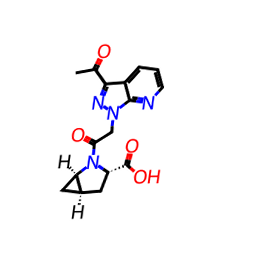 CC(=O)c1nn(CC(=O)N2[C@@H]3C[C@@H]3C[C@H]2C(=O)O)c2ncccc12